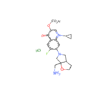 Cl.NCC12CN(c3cc4c(cc3F)c(=O)c(OC(=O)O)cn4C3CC3)CC1CCO2